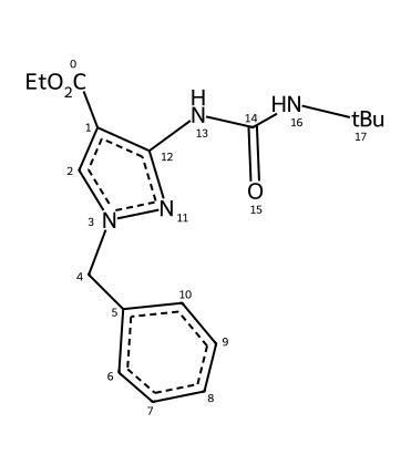 CCOC(=O)c1cn(Cc2ccccc2)nc1NC(=O)NC(C)(C)C